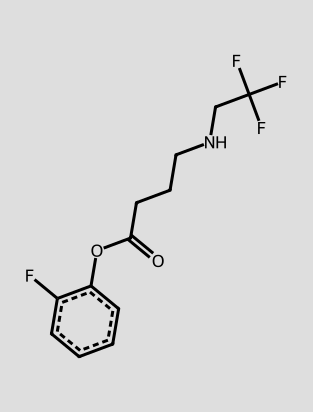 O=C(CCCNCC(F)(F)F)Oc1ccccc1F